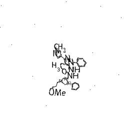 COCCC[C@H]1C[C@@H](NC(=O)Nc2c(C)c(-c3cnn(C)c3)nn2-c2ccccc2)[C@H](c2ccccc2)C1